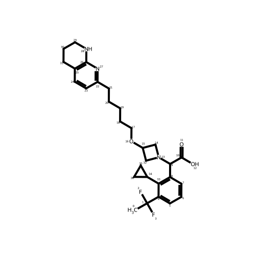 CC(F)(F)c1cccc(C(C(=O)O)N2CC(OCCCCCc3ccc4c(n3)NCCC4)C2)c1C1CC1